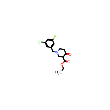 CCOC(=O)C1CN(Cc2cc(F)cc(Cl)c2)CCC1=O